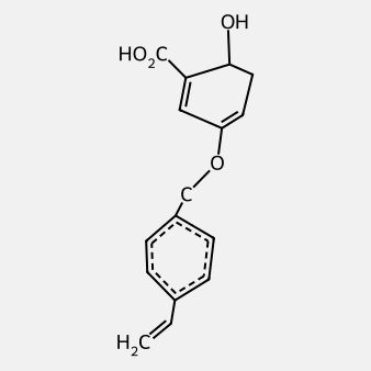 C=Cc1ccc(COC2=CCC(O)C(C(=O)O)=C2)cc1